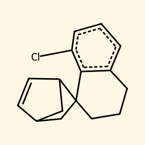 Clc1cccc2c1C1(CCC2)CC2C=CC1C2